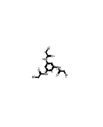 O=C(CBr)Nc1cc(NC(=O)CBr)cc(NC(=O)CBr)c1